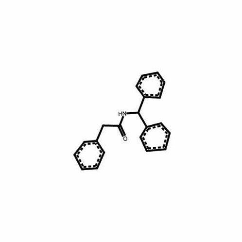 O=C(Cc1ccccc1)N[C](c1ccccc1)c1ccccc1